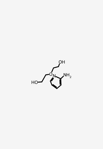 Nc1ccccn1.OCCOCCO